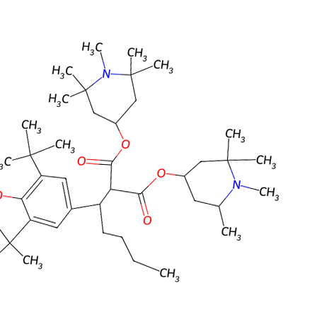 CCCCC(c1cc(C(C)(C)C)c(O)c(C(C)(C)C)c1)C(C(=O)OC1CC(C)N(C)C(C)(C)C1)C(=O)OC1CC(C)(C)N(C)C(C)(C)C1